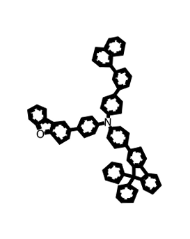 c1ccc(C2(c3ccccc3)c3ccccc3-c3ccc(-c4ccc(N(c5ccc(-c6cccc(-c7cccc8ccccc78)c6)cc5)c5ccc(-c6ccc7oc8ccccc8c7c6)cc5)cc4)cc32)cc1